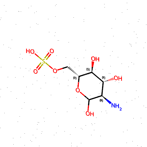 N[C@H]1C(O)O[C@H](COS(=O)(=O)O)[C@@H](O)[C@@H]1O